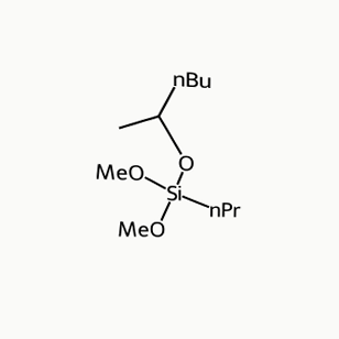 CCCCC(C)O[Si](CCC)(OC)OC